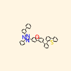 c1ccc(-c2cccc(-c3nc(-c4ccccc4)nc(-c4ccc5c(c4)oc4ccc(-c6ccccc6-c6cccc7c6sc6ccccc67)cc45)n3)c2)cc1